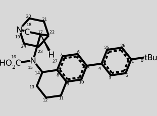 CC(C)(C)c1ccc(-c2ccc3c(c2)CCCC3N(C(=O)O)[C@@H]2CN3CCC2CC3)cc1